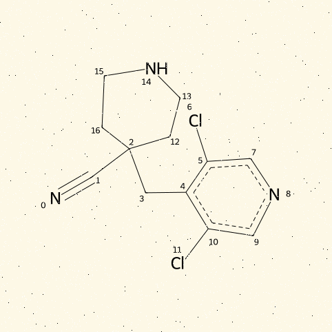 N#CC1(Cc2c(Cl)cncc2Cl)CCNCC1